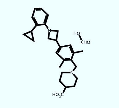 Cc1cc(C2CN(c3ccccc3C3CC3)C2)cc(C)c1CN1CCC(C(=O)O)CC1.O=CO